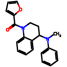 CN(c1ccccc1)C1CCN(C(=O)c2ccco2)c2ccccc21